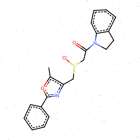 Cc1oc(-c2ccccc2)nc1C[S+]([O-])CC(=O)N1CCc2ccccc21